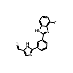 O=Cc1cnc(-c2cccc(-c3nc4c(Cl)cccc4[nH]3)c2)[nH]1